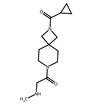 CNCC(=O)N1CCC2(CC1)CN(C(=O)C1CC1)C2